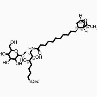 CCCCCCCCCCCCCC[C@@H](O)[C@@H](O)[C@H](COC1OC(CO)C(O)C(O)C1O)NC(=O)CCCCCCCCCC[C@H]1C[C@@H]2C[C@H]1[C@H](C)O2